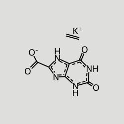 C=C.O=C([O-])c1nc2[nH]c(=O)[nH]c(=O)c2[nH]1.[K+]